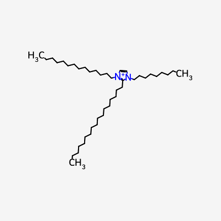 CCCCCCCCCCCCCCCCCc1n(CCCCCCCCC)cc[n+]1CCCCCCCCCCCCCC